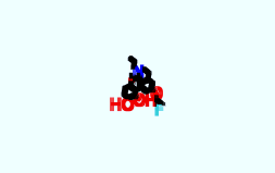 CCCN1CCc2cc(OCCF)cc3c2[C@H]1Cc1ccc(O)c(O)c1-3